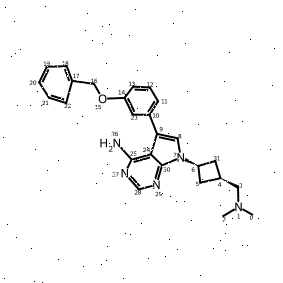 CN(C)C[C@H]1C[C@@H](n2cc(-c3cccc(OCc4ccccc4)c3)c3c(N)ncnc32)C1